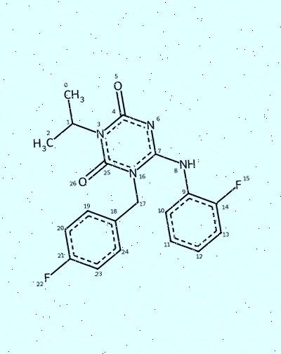 CC(C)n1c(=O)nc(Nc2ccccc2F)n(Cc2ccc(F)cc2)c1=O